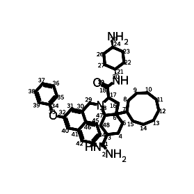 N=C(N)C1CCC2(C3CCCCCCCC3)CC(C(=O)N[C@H]3CC[C@H](N)CC3)N(Cc3cc(Oc4ccccc4)cc4ccccc34)C2C1